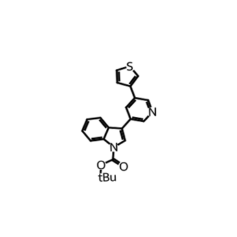 CC(C)(C)OC(=O)n1cc(-c2cncc(-c3ccsc3)c2)c2ccccc21